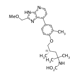 COCc1nc2c(-c3ccc(OC[C@@H](C)CC(C)(C)NC(=O)O)c(C)c3)ccnc2[nH]1